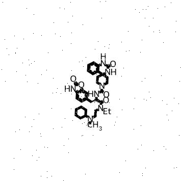 CCN(CCN(C)C1CCCCC1)C(=O)[C@@H](Cc1ccc2[nH]c(=O)oc2c1)NC(=O)N1CCC2(CC1)NC(=O)Nc1ccccc12